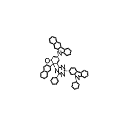 CC12C(c3nc(-c4ccccc4)nc(-c4ccc5c6ccccc6n(-c6ccccc6)c5c4)n3)=CC(n3c4ccccc4c4cc5ccccc5cc43)=CC1Oc1cc3ccccc3cc12